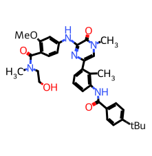 COc1cc(Nc2nc(-c3cccc(NC(=O)c4ccc(C(C)(C)C)cc4)c3C)cn(C)c2=O)ccc1C(=O)N(C)CCO